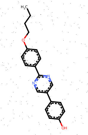 CCCCOc1ccc(-c2ncc(-c3ccc(O)cc3)cn2)cc1